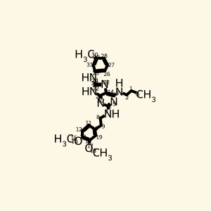 CCCNc1nc(NCCc2ccc(OC)c(OC)c2)nc2[nH]c(Nc3cccc(C)c3)nc12